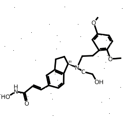 COc1ccc(OC)c(CCN(CCO)[C@@H]2CCc3cc(C=CC(=O)NO)ccc32)c1